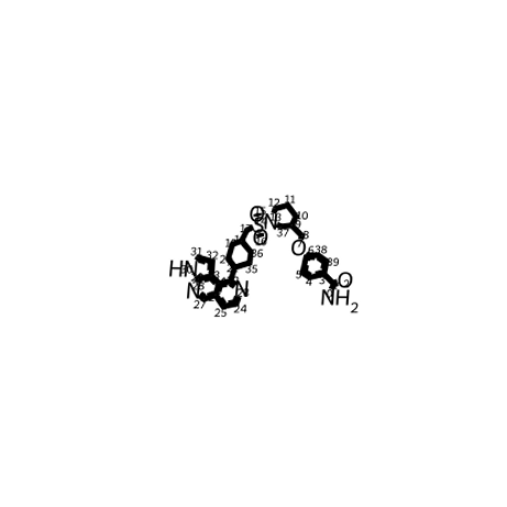 NC(=O)c1ccc(OCC2CCCN(S(=O)(=O)CC3CCC(c4nccc5cnc6[nH]ccc6c45)CC3)C2)cc1